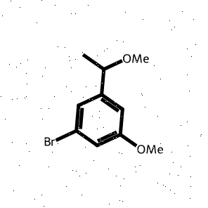 COc1cc(Br)cc(C(C)OC)c1